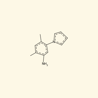 Cc1cc(C)c(-n2cccc2)cc1N